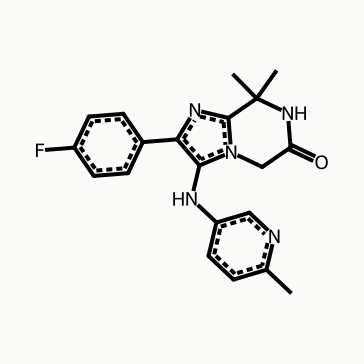 Cc1ccc(Nc2c(-c3ccc(F)cc3)nc3n2CC(=O)NC3(C)C)cn1